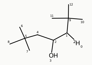 [2H]C(C(O)CC(C)(C)C)C(C)(C)C